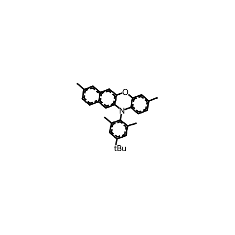 Cc1ccc2c(c1)Oc1cc3cc(C)ccc3cc1N2c1c(C)cc(C(C)(C)C)cc1C